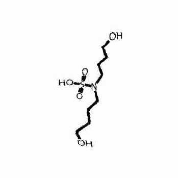 O=S(=O)(O)N(CCCCO)CCCCO